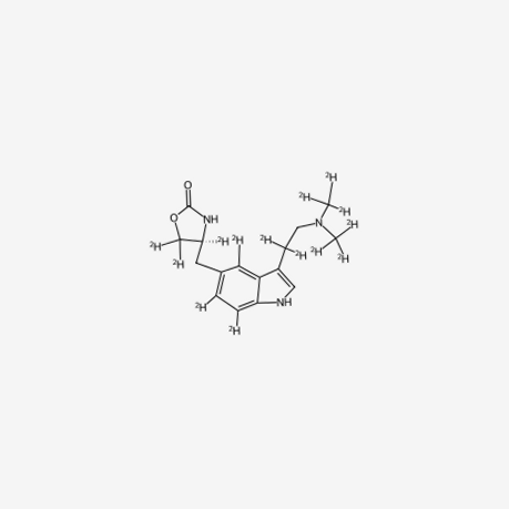 [2H]c1c(C[C@]2([2H])NC(=O)OC2([2H])[2H])c([2H])c2c(C([2H])([2H])CN(C([2H])([2H])[2H])C([2H])([2H])[2H])c[nH]c2c1[2H]